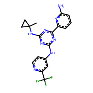 CC1(Nc2nc(Nc3ccnc(C(F)(F)F)c3)nc(-c3cccc(N)n3)n2)CC1